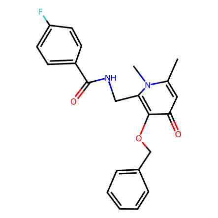 Cc1cc(=O)c(OCc2ccccc2)c(CNC(=O)c2ccc(F)cc2)n1C